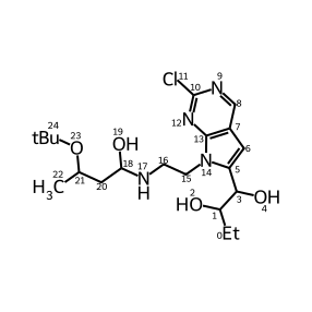 CCC(O)C(O)c1cc2cnc(Cl)nc2n1CCNC(O)CC(C)OC(C)(C)C